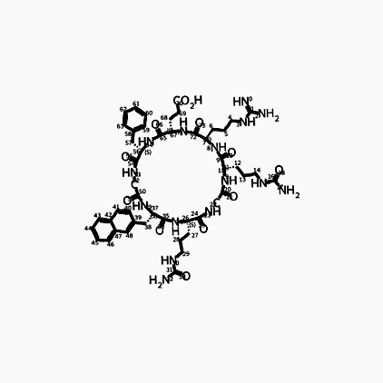 N=C(N)NCCC[C@H]1NC(=O)[C@H](CCCNC(N)=O)NC(=O)CNC(=O)[C@H](CCCNC(N)=O)NC(=O)[C@H](Cc2ccc3ccccc3c2)NC(=O)CNC(=O)[C@H](Cc2ccccc2)NC(=O)[C@H](CCC(=O)O)NC1=O